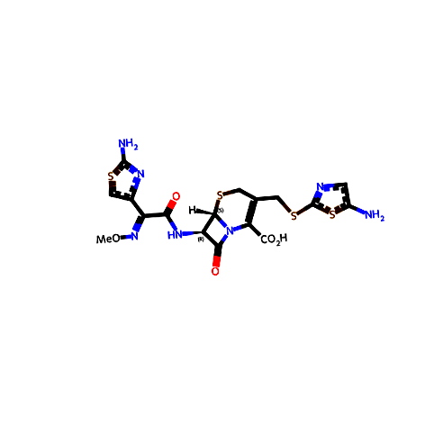 CON=C(C(=O)N[C@@H]1C(=O)N2C(C(=O)O)=C(CSc3ncc(N)s3)CS[C@@H]12)c1csc(N)n1